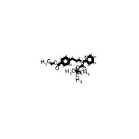 CCOC(=O)c1ccc(CCCN(C(=O)OC(C)(C)C)c2ccccn2)cc1